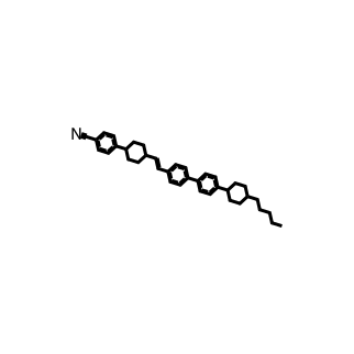 CCCCCC1CCC(c2ccc(-c3ccc(C=CC4CCC(c5ccc(C#N)cc5)CC4)cc3)cc2)CC1